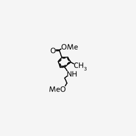 COCCNc1ccc(C(=O)OC)cc1C